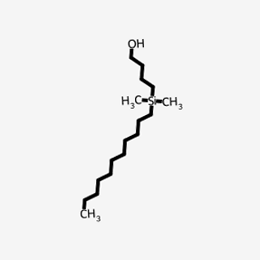 CCCCCCCCCCC[Si](C)(C)CCCCO